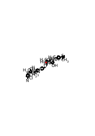 Cc1ccsc1-c1ccc([C@H](C)NC(=O)[C@@H]2C[C@@H](O)CN2C(=O)[C@@H](NC(=O)COCC2CCN(c3ccc(C(=O)N[C@H]4C(C)(C)[C@H](Oc5ccc(C#N)c(Cl)c5)C4(C)C)cn3)CC2)C(C)(C)C)cc1